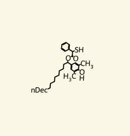 CCCCCCCCCCCCCCCCCCC(OC(=O)C(S)c1ccccc1)c1cc(C)c(O)c(C)c1